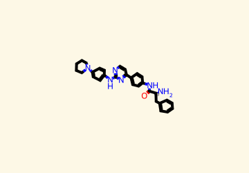 N[C@H](Cc1ccccc1)C(=O)Nc1ccc(-c2ccnc(Nc3ccc(N4CCCCC4)cc3)n2)cc1